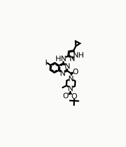 CC1CN(C(=O)c2nc(Nc3cc(C4CC4)[nH]n3)c3cc(I)ccc3n2)CCN1C(=O)OC(C)(C)C